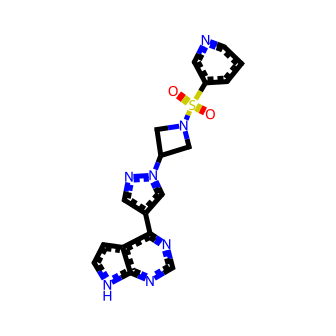 O=S(=O)(c1cccnc1)N1CC(n2cc(-c3ncnc4[nH]ccc34)cn2)C1